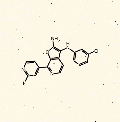 Nc1oc2c(-c3ccnc(F)c3)nccc2c1Nc1cccc(Cl)c1